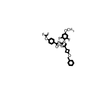 COc1cc(F)c(-n2cc(C3CC(OCc4ccccc4)C3)nc2NC(=O)c2ccc(OC(F)F)cc2)c(F)c1